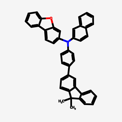 CC1(C)c2ccccc2-c2cc(-c3ccc(N(c4ccc5ccccc5c4)c4ccc5c(c4)oc4ccccc45)cc3)ccc21